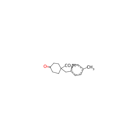 Cc1ccc(CC2(C(=O)O)CCC(=O)CC2)cc1